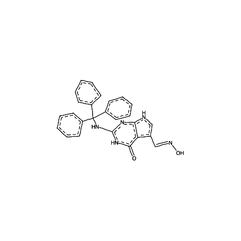 O=c1[nH]c(NC(c2ccccc2)(c2ccccc2)c2ccccc2)nc2[nH]cc(C=NO)c12